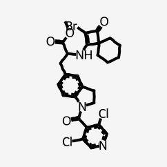 COC(=O)C(Cc1ccc2c(c1)CCN2C(=O)c1c(Cl)cncc1Cl)NC1=C(Br)C(=O)C12CCCCC2